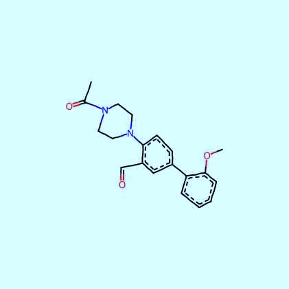 COc1ccccc1-c1ccc(N2CCN(C(C)=O)CC2)c(C=O)c1